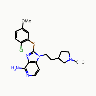 COc1ccc(Cl)c(Sc2nc3c(N)nccc3n2CCC2CCN(C=O)C2)c1